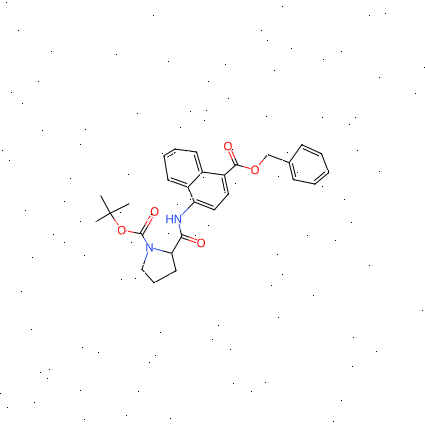 CC(C)(C)OC(=O)N1CCCC1C(=O)Nc1ccc(C(=O)OCc2ccccc2)c2ccccc12